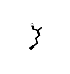 C#CCCC=C(C)C=O